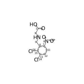 O=C(O)CNCc1c([N+](=O)[O-])ccc(Cl)c1Cl